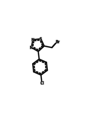 Clc1ccc(-c2nnsc2CBr)cc1